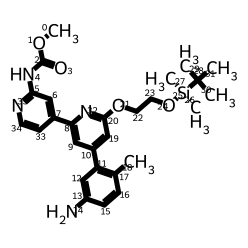 COC(=O)Nc1cc(-c2cc(-c3cc(N)ccc3C)cc(OCCO[Si](C)(C)C(C)(C)C)n2)ccn1